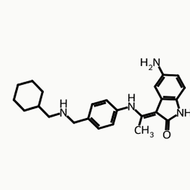 CC(Nc1ccc(CNCC2CCCCC2)cc1)=C1C(=O)Nc2ccc(N)cc21